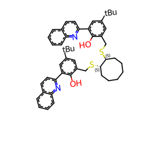 CC(C)(C)c1cc(CS[C@H]2CCCCCC[C@@H]2SCc2cc(C(C)(C)C)cc(-c3ccc4ccccc4n3)c2O)c(O)c(-c2ccc3ccccc3n2)c1